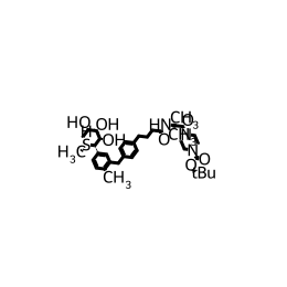 Cc1ccc([C@H]2[C@H](O)[C@H](O)[C@H](O)C[SH]2C)cc1Cc1ccc(CCCC(=O)NC(C)(C)C(=O)N2CCN(C(=O)OC(C)(C)C)CC2)cc1